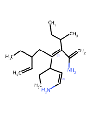 C=CC(CC)C/C(=C(/C(=C)N)C(C)CC)C(/C=C\N)CC